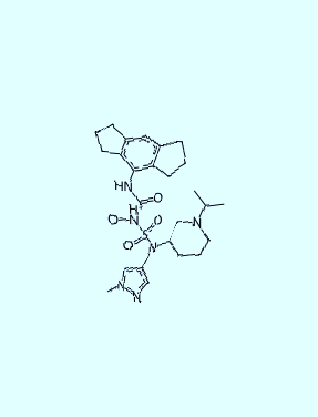 CC(C)N1CCCC(N(c2cnn(C)c2)S(=O)(=O)[NH+]([O-])C(=O)Nc2c3c(cc4c2CCC4)CCC3)C1